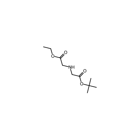 CCOC(=O)CNCC(=O)OC(C)(C)C